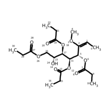 C/C=C(/OC)[C@H](OC(=O)CC)[C@@H](OC(=O)CC)[C@H](OC(=O)CC)[C@H](O)COC(=O)CC